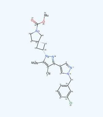 CNc1c(C#N)c(-c2cnn(Cc3cccc(Cl)c3)c2)nn1[C@H]1C[C@@]2(CCN(C(=O)OC(C)(C)C)C2)C1